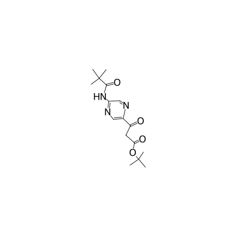 CC(C)(C)OC(=O)CC(=O)c1cnc(NC(=O)C(C)(C)C)cn1